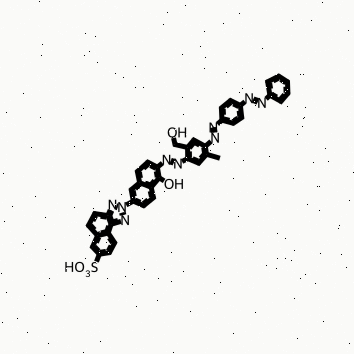 Cc1cc(N=Nc2ccc3cc(-n4nc5ccc6cc(S(=O)(=O)O)ccc6c5n4)ccc3c2O)c(CO)cc1N=Nc1ccc(N=Nc2ccccc2)cc1